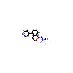 CN(C)CC1OCCc2c(-c3ccncc3)cccc21